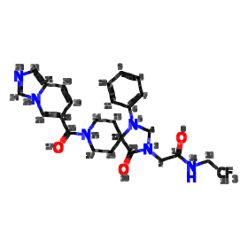 O=C(CN1CN(c2ccccc2)C2(CCN(C(=O)c3ccc4cncn4c3)CC2)C1=O)NCC(F)(F)F